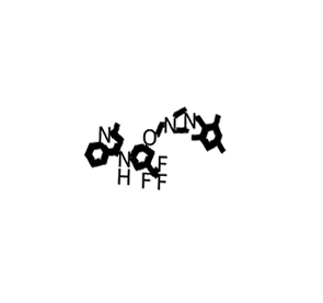 Cc1cc(C)c(CN2CCN(CCOc3cc(Nc4cc(C)nc5ccccc45)cc(C(F)(F)F)c3)CC2)c(C)c1